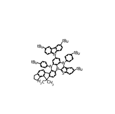 CC(C)(C)c1ccc(N2c3cc(-n4c5ccc(C(C)(C)C)cc5c5cc(C(C)(C)C)ccc54)cc4c3B(c3ccc5c(c32)-c2ccc3c(c2C5(C)C)CCC3)c2sc3ccc(C(C)(C)C)cc3c2N4c2ccc(C(C)(C)C)cc2)cc1